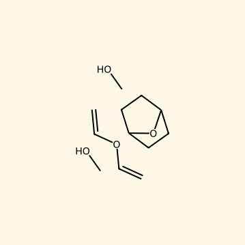 C1CC2CCC1O2.C=COC=C.CO.CO